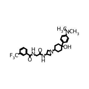 CN(C)c1ccc(C2(O)CCC(N3CC(NC(=O)CNC(=O)c4cccc(C(F)(F)F)c4)C3)CC2)cc1